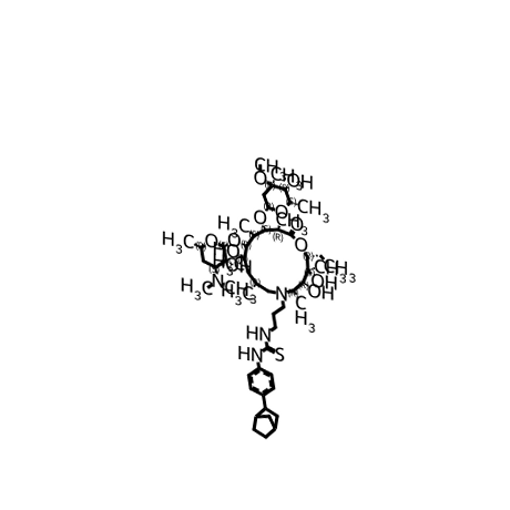 CC[C@H]1OC(=O)[C@H](C)[C@@H](O[C@H]2C[C@@](C)(OC)[C@@H](O)[C@H](C)O2)[C@H](C)[C@@H](O[C@@H]2O[C@H](C)C[C@H](N(C)C)[C@H]2O)[C@](C)(O)C[C@@H](C)CN(CCCNC(=S)Nc2ccc(C3CC4CCC3C4)cc2)[C@H](C)[C@@H](O)[C@]1(C)O